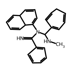 CNC(C1=CC=CCC=C1)N(C(=N)c1ccccc1)C1=CC=CC2C=CC=CC12